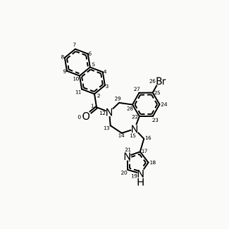 O=C(c1ccc2ccccc2c1)N1CCN(Cc2c[nH]cn2)c2ccc(Br)cc2C1